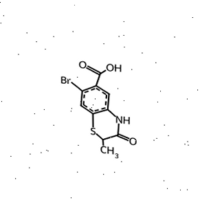 CC1Sc2cc(Br)c(C(=O)O)cc2NC1=O